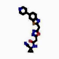 N#CC1(NC(=O)Cc2nnc(Cc3nc4ccc(-c5ccncc5)cc4s3)o2)CC1